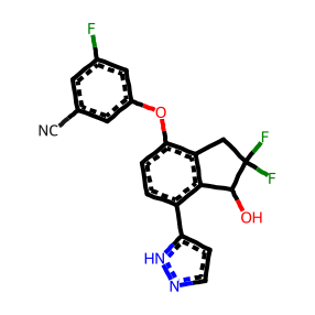 N#Cc1cc(F)cc(Oc2ccc(-c3ccn[nH]3)c3c2CC(F)(F)C3O)c1